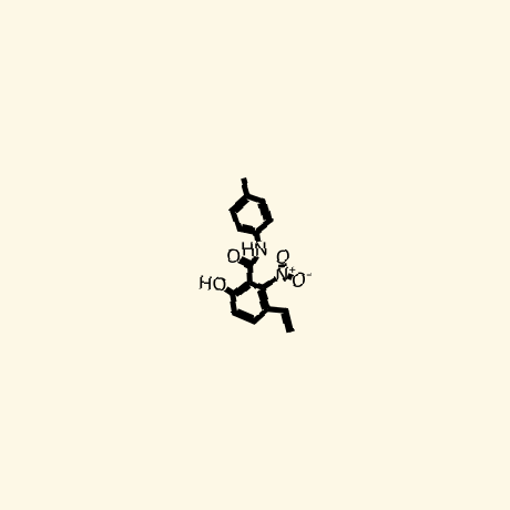 C=Cc1ccc(O)c(C(=O)Nc2ccc(C)cc2)c1[N+](=O)[O-]